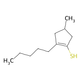 CCCCCC1=C(S)CC(C)C1